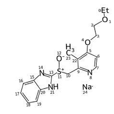 CCOCCOc1ccnc(C[S+]([O-])c2nc3ccccc3[nH]2)c1C.[Na]